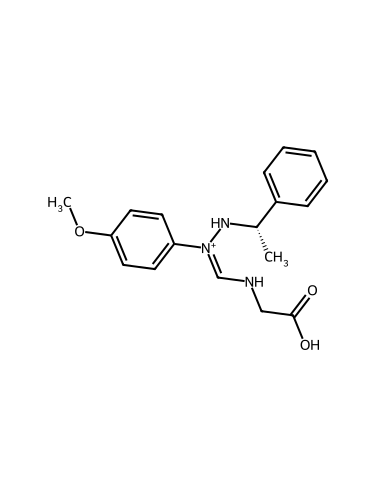 COc1ccc([N+](=CNCC(=O)O)N[C@@H](C)c2ccccc2)cc1